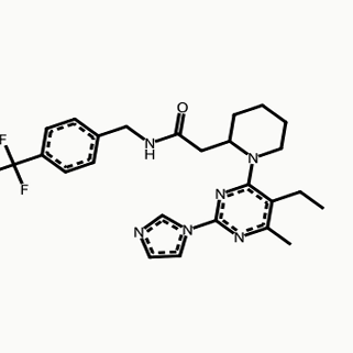 CCc1c(C)nc(-n2ccnc2)nc1N1CCCCC1CC(=O)NCc1ccc(C(F)(F)F)cc1